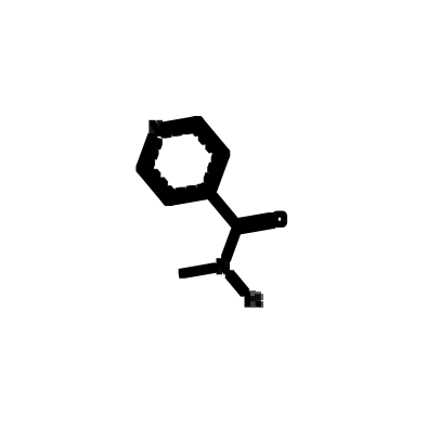 CCN(C)C(=O)c1ccncc1